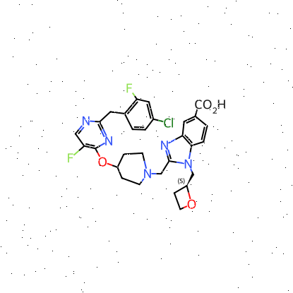 O=C(O)c1ccc2c(c1)nc(CN1CCC(Oc3nc(Cc4ccc(Cl)cc4F)ncc3F)CC1)n2C[C@@H]1CCO1